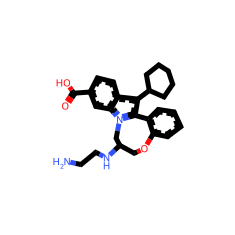 NCCNC1COc2ccccc2-c2c(C3CCCCC3)c3ccc(C(=O)O)cc3n2C1